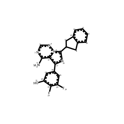 Nc1ncnn2c(C3Cc4ccccc4C3)nc(-c3cc(O)c(F)c(F)c3)c12